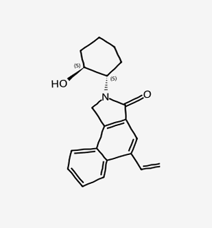 C=Cc1cc2c(c3ccccc13)CN([C@H]1CCCC[C@@H]1O)C2=O